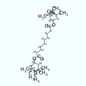 CC1CC(OC(=O)CCCCCCCCC(=O)OC2CC(C)(C)N(C)C(C)(C)C2)CC(C)(C)N1C